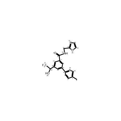 Cc1ccc(-c2cc(C(=O)NCc3ncco3)cc(C(O)C(F)(F)F)c2)nc1